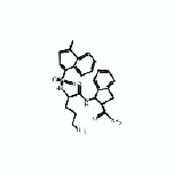 Cc1ccc(S(=O)(=O)NC(CCCN)C(=O)NC2c3ccccc3CC2C(N)=O)c2ccccc12